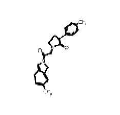 O=C(CN1CCC(c2ccc(C(F)(F)F)cc2)C1=O)N1C=C2CC=C(C(F)(F)F)C=C2C1